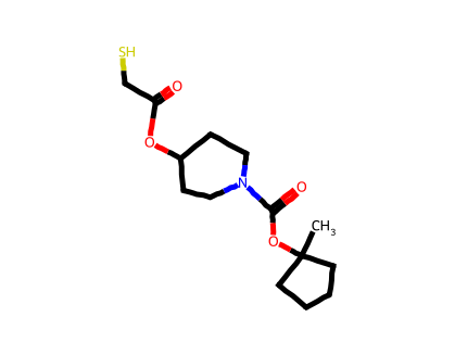 CC1(OC(=O)N2CCC(OC(=O)CS)CC2)CCCC1